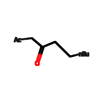 [CH2]C(=O)CC(=O)CCCCCC